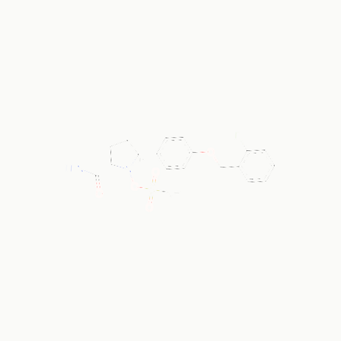 CS(=O)(=O)ON1[C@@H](c2ccc(OCc3ccccc3F)cc2)CC[C@H]1C(N)=O